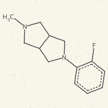 CN1CC2CN(c3ccccc3F)CC2C1